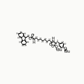 CC(C)(C)OC(=O)[C@H](Cc1ccc(OC(C)(C)C)cc1)NC(=O)CCCCCCCNC(=O)OCC1c2ccccc2-c2ccccc21